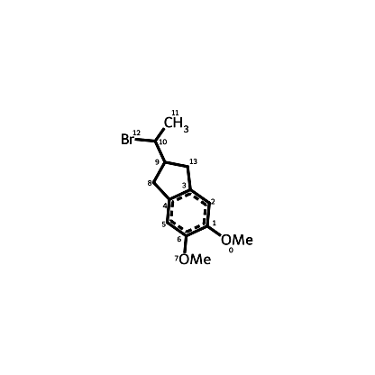 COc1cc2c(cc1OC)CC(C(C)Br)C2